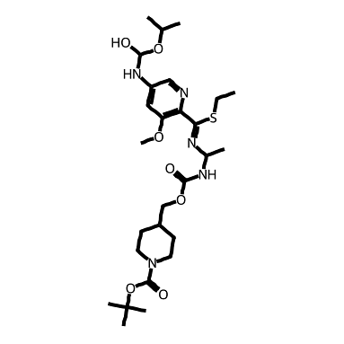 CCS/C(=N\C(C)NC(=O)OCC1CCN(C(=O)OC(C)(C)C)CC1)c1ncc(NC(O)OC(C)C)cc1OC